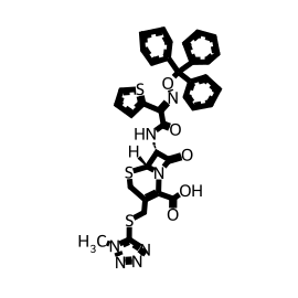 Cn1nnnc1SCC1=C(C(=O)O)N2C(=O)[C@@H](NC(=O)/C(=N/OC(c3ccccc3)(c3ccccc3)c3ccccc3)c3cccs3)[C@H]2SC1